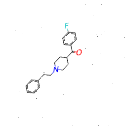 O=C(c1ccc(F)cc1)C1CCN(C[CH]c2ccccc2)CC1